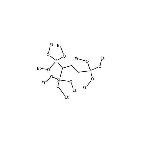 CCO[Si](CCC([Si](OCC)(OCC)OCC)[Si](OCC)(OCC)OCC)(OCC)OCC